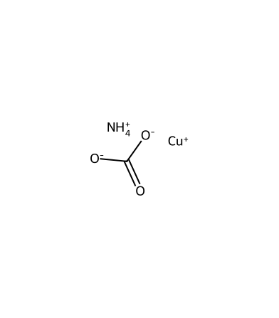 O=C([O-])[O-].[Cu+].[NH4+]